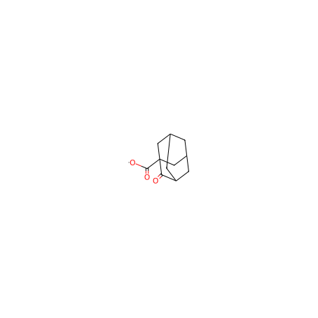 [O]C(=O)C12CC3CC(CC(C3)C1=O)C2